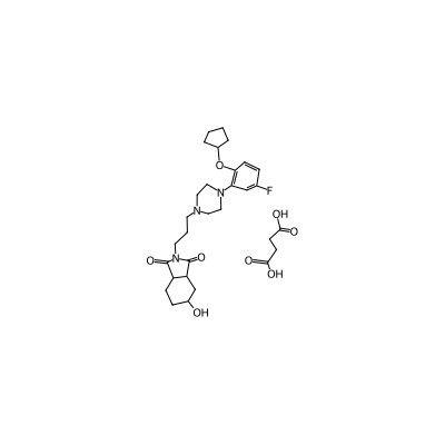 O=C(O)CCC(=O)O.O=C1C2CCC(O)CC2C(=O)N1CCCN1CCN(c2cc(F)ccc2OC2CCCC2)CC1